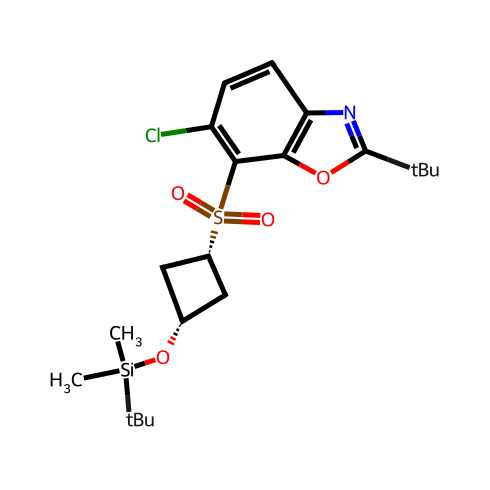 CC(C)(C)c1nc2ccc(Cl)c(S(=O)(=O)[C@H]3C[C@@H](O[Si](C)(C)C(C)(C)C)C3)c2o1